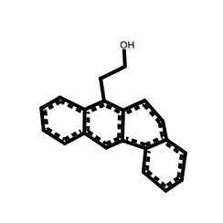 OCCc1c2ccccc2cc2c1ccc1ccccc12